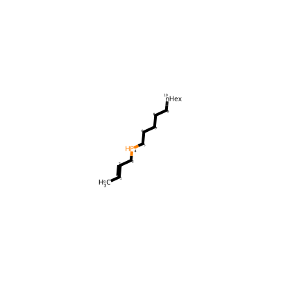 CC=CCPCCCCCCCCCCC